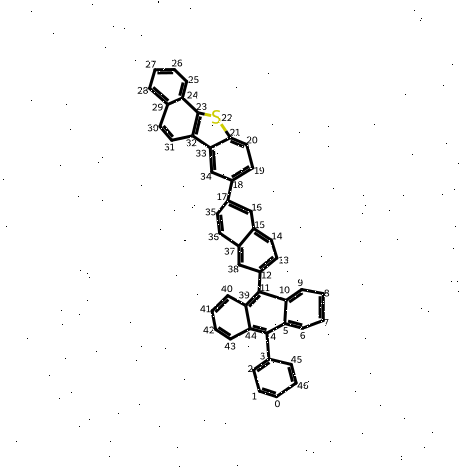 c1ccc(-c2c3ccccc3c(-c3ccc4cc(-c5ccc6sc7c8ccccc8ccc7c6c5)ccc4c3)c3ccccc23)cc1